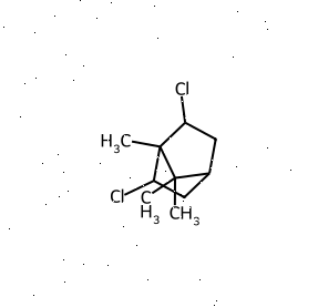 CC1(C)C2CC(Cl)C1(C)C(Cl)C2